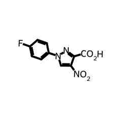 O=C(O)c1nn(-c2ccc(F)cc2)cc1[N+](=O)[O-]